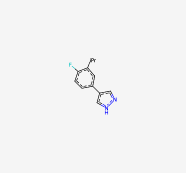 CC(C)c1cc(-c2cn[nH]c2)ccc1F